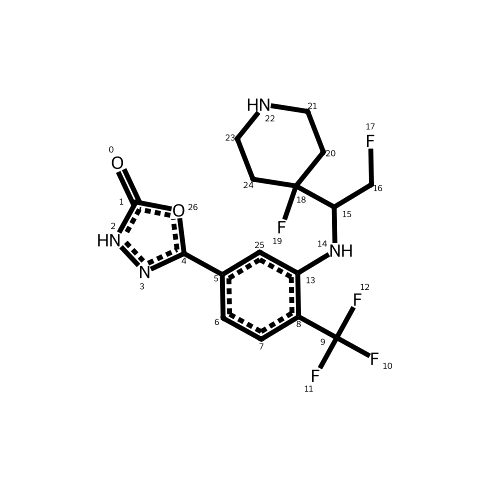 O=c1[nH]nc(-c2ccc(C(F)(F)F)c(NC(CF)C3(F)CCNCC3)c2)o1